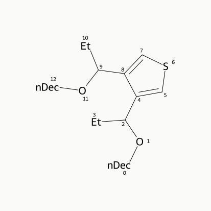 CCCCCCCCCCOC(CC)c1cscc1C(CC)OCCCCCCCCCC